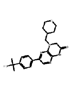 CC(C)(O)c1ccc(-c2cnc3c(n2)N(CC2CCOCC2)CC(=O)N3)cc1